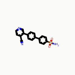 N#Cc1ccncc1-c1ccc(-c2ccc(S(N)(=O)=O)cc2)cc1